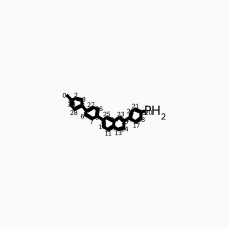 Cc1ccc(-c2ccc(-c3ccc4ccc(-c5ccc(P)cc5)cc4c3)cc2)cc1